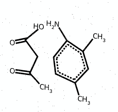 CC(=O)CC(=O)O.Cc1ccc(N)c(C)c1